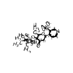 C[C@H]1O[C@@H](c2ccncc2[N+](=O)[O-])CC(=O)[C@]1(C)O[Si](C)(C)C(C)(C)C